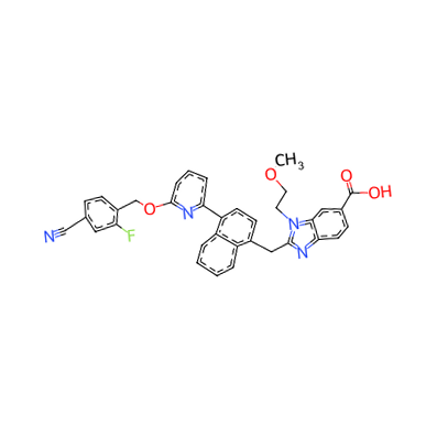 COCCn1c(Cc2ccc(-c3cccc(OCc4ccc(C#N)cc4F)n3)c3ccccc23)nc2ccc(C(=O)O)cc21